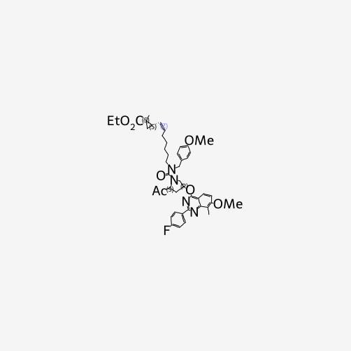 CCOC(=O)[C@@]1(C)C[C@H]1/C=C\CCCCCN(Cc1ccc(OC)cc1)C(=O)N1C[C@H](Oc2nc(-c3ccc(F)cc3)nc3c(C)c(OC)ccc23)C[C@H]1C(C)=O